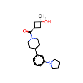 C[C@]1(O)C[C@@H](C(=O)N2CCC(c3cccc(N4CCCC4)c3)CC2)C1